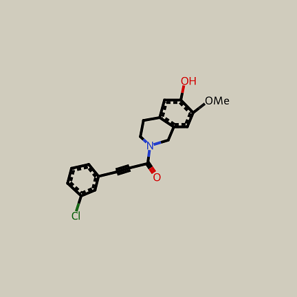 COc1cc2c(cc1O)CCN(C(=O)C#Cc1cccc(Cl)c1)C2